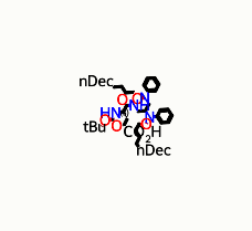 CCCCCCCCCCCCCCON(CC(CNC(=O)[C@H](CCC(=O)O)NC(=O)OC(C)(C)C)N(OCCCCCCCCCCCCCC)c1ccccc1)c1ccccc1